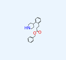 O=C(CCc1ccccc1C1CCNCC1)OCc1ccccc1